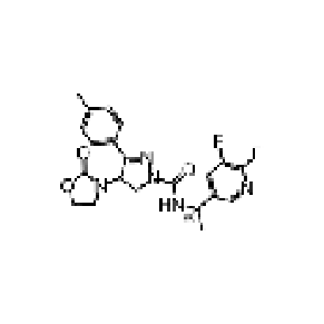 Cc1ccc(C2=NN(C(=O)N[C@H](C)c3cnc(F)c(F)c3)CC2N2CCOC2=O)cc1